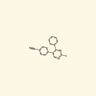 N#Cc1ccc(-c2cnc(I)nc2-c2ccccc2)cc1